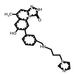 Cc1cc2n[nH]c(=O)n2c2cc(-c3cccc(CNCCCn4ccnc4)c3)c(O)cc12